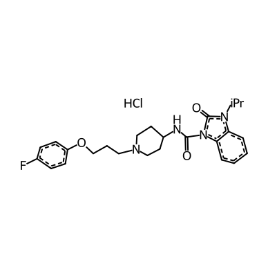 CC(C)n1c(=O)n(C(=O)NC2CCN(CCCOc3ccc(F)cc3)CC2)c2ccccc21.Cl